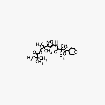 CC(C)(C)C(=O)OCC(C)(C)c1cc(NC(=O)C(C)(C)S(=O)(=O)C2CCOCC2)on1